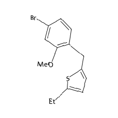 CCc1ccc(Cc2ccc(Br)cc2OC)s1